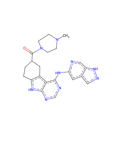 CN1CCN(C(=O)C2CCc3[nH]c4ncnc(Nc5cc6cn[nH]c6cn5)c4c3C2)CC1